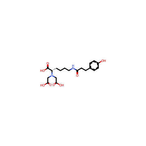 O=C(O)CN(CC(=O)O)[C@@H](CCCCNC(=O)CCc1ccc(O)cc1)C(=O)O